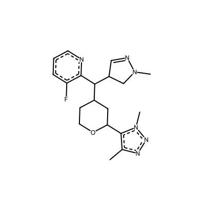 Cc1nnn(C)c1C1CC(C(c2ncccc2F)C2C=NN(C)C2)CCO1